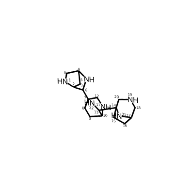 C1NC2CC1NC2C12CCC(NC1)C(C13CCC(CNC1)N3)N2